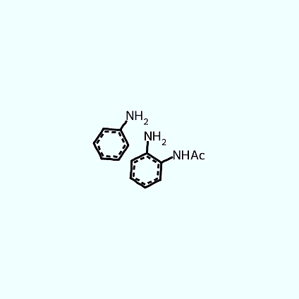 CC(=O)Nc1ccccc1N.Nc1ccccc1